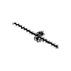 CCCCCCCCC=CCCCCCCCC(O[Si](C)(C)C(C)(C)C)C(CCCCCCCCCCCCCC)C(=O)O